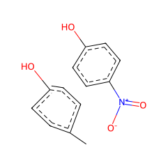 Cc1ccc(O)cc1.O=[N+]([O-])c1ccc(O)cc1